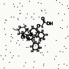 O=C(O)COc1cccc([C@H]2CCCC[C@@]2(O)c2nc(-c3ccccc3)c(-c3ccccc3)o2)c1